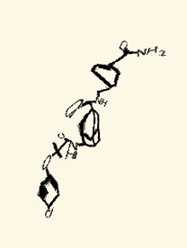 CC(C)(Oc1ccc(Cl)cc1)C(=O)NC1C2CC3CC1CC(C(=O)NCc1ccc(C(N)=O)cc1)(C3)C2